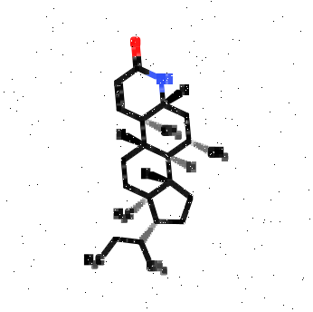 CCC(C)[C@H]1CC[C@H]2[C@@H]3[C@@H](C)C[C@H]4NC(=O)C=C[C@]4(C)[C@H]3CC[C@]12C